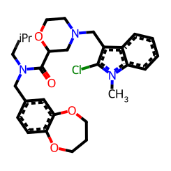 CC(C)CN(Cc1ccc2c(c1)OCCCO2)C(=O)C1CN(Cc2c(Cl)n(C)c3ccccc23)CCO1